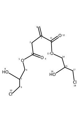 C=C(CC(=O)OCC(O)CCl)C(=O)OCC(O)CCl